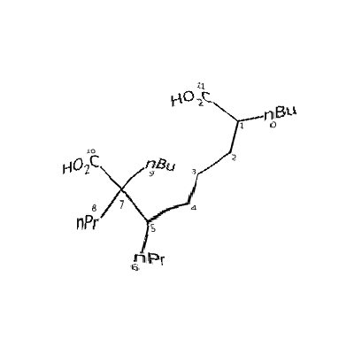 CCCCC(CCCC(CCC)C(CCC)(CCCC)C(=O)O)C(=O)O